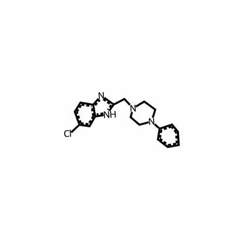 Clc1ccc2nc(CN3CCN(c4ccccc4)CC3)[nH]c2c1